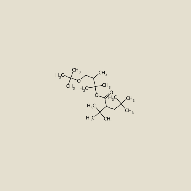 CC(COC(C)(C)C)C(C)(C)OC(=O)C(CC(C)(C)C)C(C)(C)C